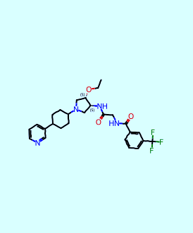 CCO[C@H]1CN(C2CCC(c3cccnc3)CC2)C[C@@H]1NC(=O)CNC(=O)c1cccc(C(F)(F)F)c1